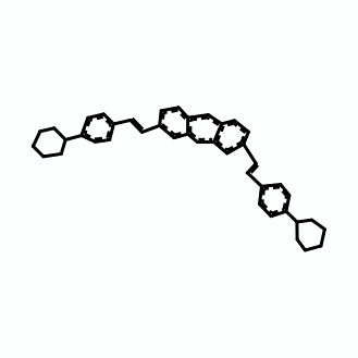 C(=Cc1ccc2cc3ccc(C=Cc4ccc(C5CCCCC5)cc4)cc3cc2c1)c1ccc(C2CCCCC2)cc1